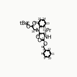 CC(C)[C@H](NC(=O)OCc1ccccc1)C(=O)N(CC(=O)OC(C)(C)C)c1ccccc1